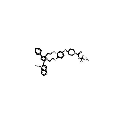 CCCc1c(-c2ccccc2)nc(-c2cc3sccc3n2C)n1CCOc1ccc(OC2CCN(C(=O)OC(C)(C)C)CC2)cc1